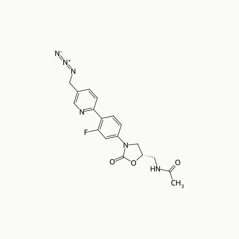 CC(=O)NC[C@H]1CN(c2ccc(-c3ccc(CN=[N+]=[N-])cn3)c(F)c2)C(=O)O1